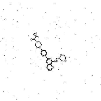 CC1(C(=O)N2CCN(c3ccc(-c4cc5nccnc5c(NCC5CNCCO5)n4)cc3)CC2)CC1